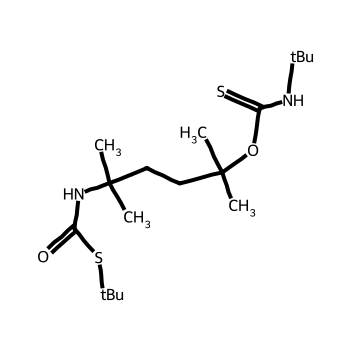 CC(C)(C)NC(=S)OC(C)(C)CCC(C)(C)NC(=O)SC(C)(C)C